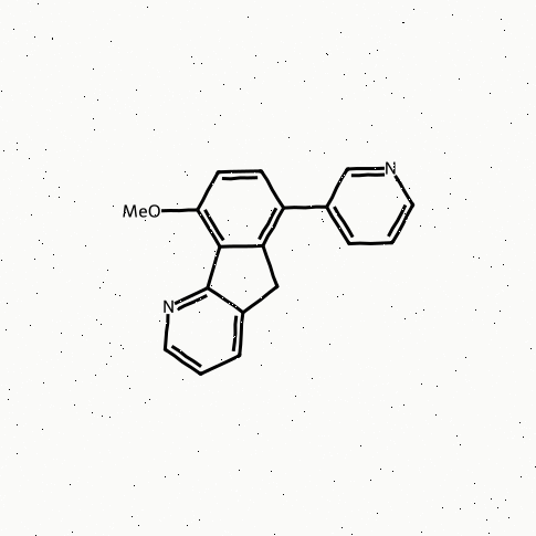 COc1ccc(-c2cccnc2)c2c1-c1ncccc1C2